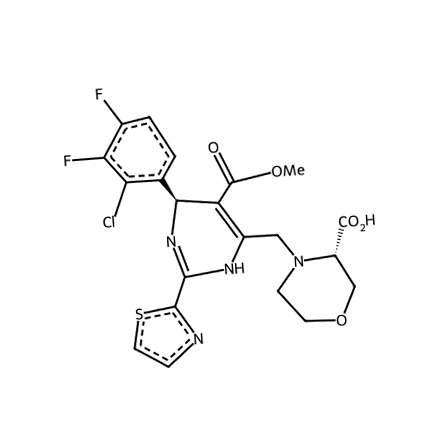 COC(=O)C1=C(CN2CCOC[C@H]2C(=O)O)NC(c2nccs2)=N[C@H]1c1ccc(F)c(F)c1Cl